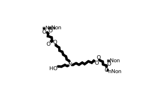 CCCCCCCCCOC(CCC(=O)OCCCCCCCCN(CCCCO)CCCCCCCCOC(=O)CCC(OCCCCCCCCC)OCCCCCCCCC)OCCCCCCCCC